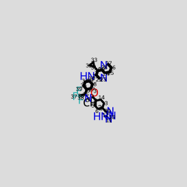 CN(C(=O)C1CCC(c2nnn[nH]2)CC1)[C@H](c1ccc(Nc2cnc3cccnc3c2C2CC2)cc1)C(F)(F)F